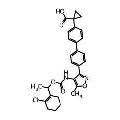 Cc1onc(-c2ccc(-c3ccc(C4(C(=O)O)CC4)cc3)cc2)c1NC(=O)OC(C)C1=C(Cl)CCCC1